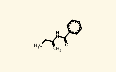 C=C(CC)NC(=O)c1ccccc1